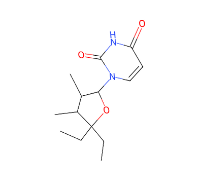 CCC1(CC)OC(n2ccc(=O)[nH]c2=O)C(C)C1C